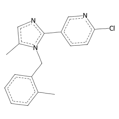 Cc1ccccc1Cn1c(C)cnc1-c1ccc(Cl)nc1